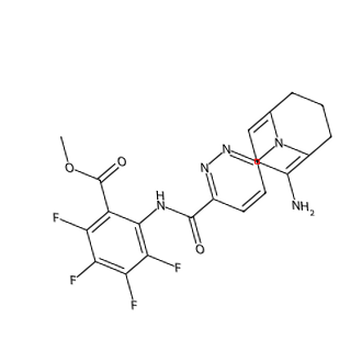 COC(=O)c1c(F)c(F)c(F)c(F)c1NC(=O)c1ccc(N2C3=CCC(N)=C2CCC3)nn1